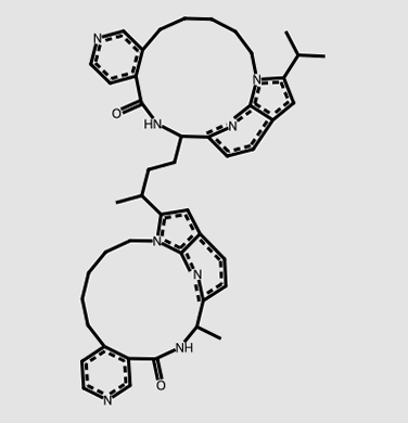 CC(C)c1cc2ccc3nc2n1CCCCCc1cnccc1C(=O)NC3CCC(C)c1cc2ccc3nc2n1CCCCCc1ccncc1C(=O)NC3C